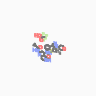 CSc1c(Nc2cc(NC(=O)C3CC3)nc3cc[nH]c(=O)c23)cccc1-c1cnn(C2CCOCC2)c1.O=C(O)C(F)(F)F